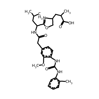 COc1cc(CC(=O)NC(CC(C)C)C2=NC(CC(C)C(=O)O)CO2)ccc1NC(=O)Nc1ccccc1C